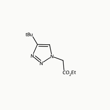 CCOC(=O)Cn1cc(C(C)(C)C)nn1